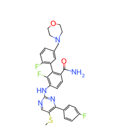 CSc1cnc(Nc2ccc(C(N)=O)c(-c3cc(CN4CCOCC4)ccc3F)c2F)nc1-c1ccc(F)cc1